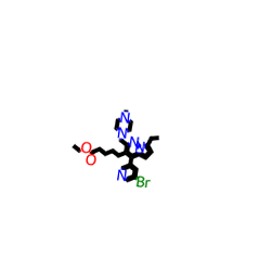 CCOC(=O)CCCCc1c(CN2CCN(C)CC2)nn2c(CC)ccc2c1-c1cncc(Br)c1